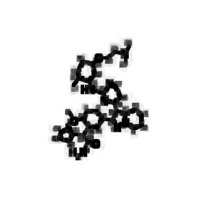 COc1ccc(-c2nn3ccccc3c2-c2ccnc(Nc3cc(OCCN(C)C)ccc3C)n2)cc1C(C(N)=O)c1cccs1